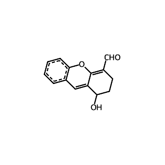 O=CC1=C2Oc3ccccc3C=C2C(O)CC1